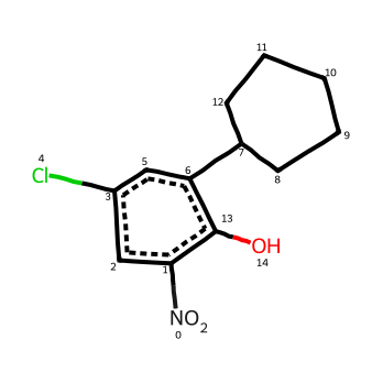 O=[N+]([O-])c1cc(Cl)cc(C2CCCCC2)c1O